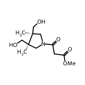 COC(=O)CC(=O)N1C[C@](C)(CO)[C@](C)(CO)C1